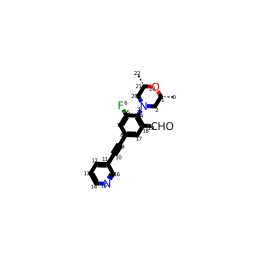 C[C@@H]1CN(c2c(F)cc(C#Cc3cccnc3)cc2C=O)C[C@H](C)O1